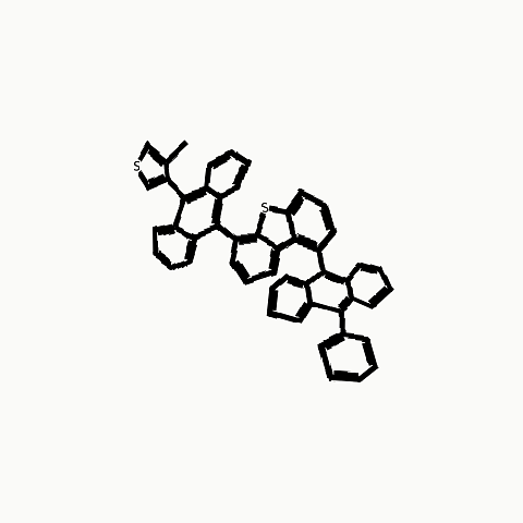 Cc1cscc1-c1c2ccccc2c(-c2cccc3c2sc2cccc(-c4c5ccccc5c(-c5ccccc5)c5ccccc45)c23)c2ccccc12